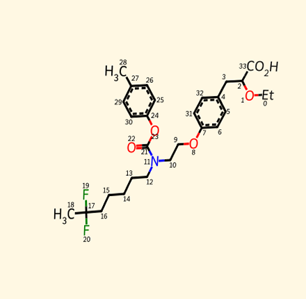 CCOC(Cc1ccc(OCCN(CCCCCC(C)(F)F)C(=O)Oc2ccc(C)cc2)cc1)C(=O)O